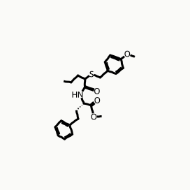 CCCC(SCc1ccc(OC)cc1)C(=O)N[C@@H](CCc1ccccc1)C(=O)OC